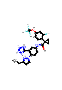 CCc1ccn(-c2ccc(NC(=O)C3(c4ccc(OC(F)(F)F)cc4F)CC3)cc2-c2nnn[nH]2)n1